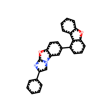 c1ccc(-c2cn3c(n2)oc2ccc(-c4cccc5oc6ccccc6c45)cc23)cc1